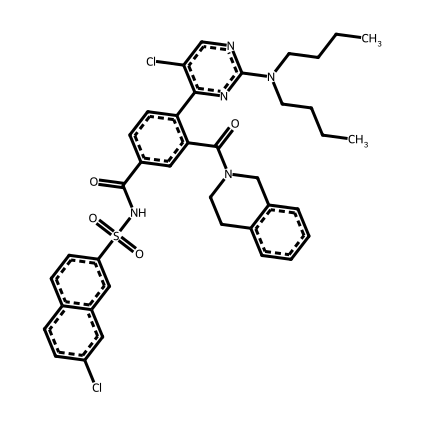 CCCCN(CCCC)c1ncc(Cl)c(-c2ccc(C(=O)NS(=O)(=O)c3ccc4ccc(Cl)cc4c3)cc2C(=O)N2CCc3ccccc3C2)n1